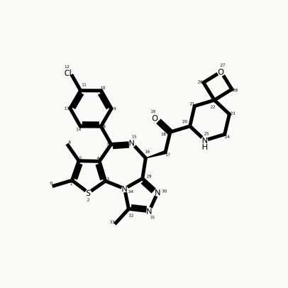 Cc1sc2c(c1C)C(c1ccc(Cl)cc1)=N[C@@H](CC(=O)C1CC3(CCN1)COC3)c1nnc(C)n1-2